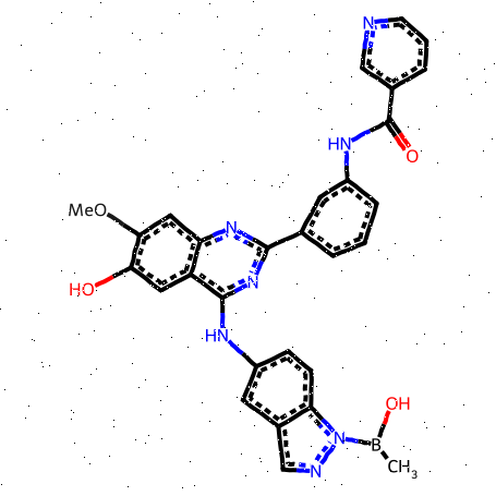 COc1cc2nc(-c3cccc(NC(=O)c4cccnc4)c3)nc(Nc3ccc4c(cnn4B(C)O)c3)c2cc1O